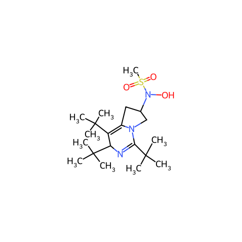 CC(C)(C)C1=NC(C(C)(C)C)C(C(C)(C)C)=C2CC(N(O)S(C)(=O)=O)CN12